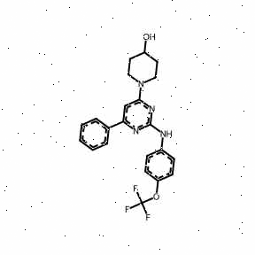 OC1CCN(c2cc(-c3ccccc3)nc(Nc3ccc(OC(F)(F)F)cc3)n2)CC1